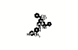 C=C(c1ccccc1)c1cc2cnc(Nc3ccc(N4CCNCC4C)c(F)c3)nc2n(Cc2cnsc2C2=CCCC2)c1=O